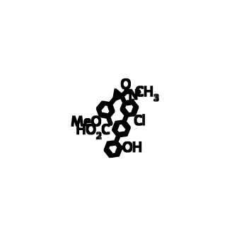 COc1ccc(C2CC23C(=O)N(C)c2cc(Cl)c(-c4ccc(-c5ccccc5O)cc4)cc23)cc1CC(=O)O